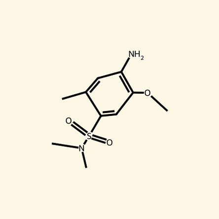 COc1cc(S(=O)(=O)N(C)C)c(C)cc1N